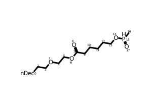 CCCCCCCCCCCCOCCOC(=O)CCCCCO[PH](C)=O